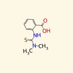 CN(C)C(=S)Nc1ccccc1C(=O)O